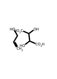 C=CCO.O=C(O)C(O)C(O)C(=O)O